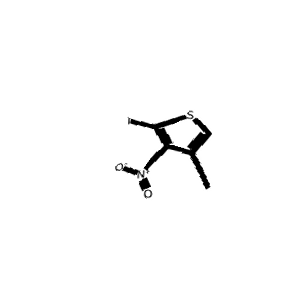 Cc1csc(I)c1[N+](=O)[O-]